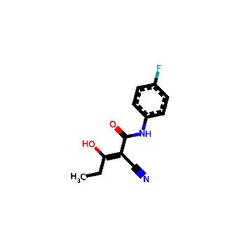 CC/C(O)=C(\C#N)C(=O)Nc1ccc(F)cc1